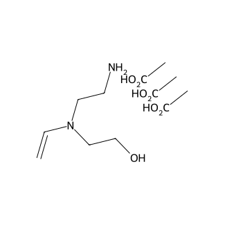 C=CN(CCN)CCO.CC(=O)O.CC(=O)O.CC(=O)O